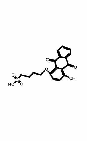 O=C1c2ccccc2C(=O)c2c(OCCCCS(=O)(=O)O)ccc(O)c21